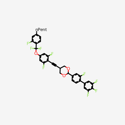 CCCCCc1ccc(C(F)(F)Oc2cc(F)c(C#CC3COC(c4ccc(-c5cc(F)c(F)c(F)c5)c(F)c4)OC3)c(F)c2)c(F)c1